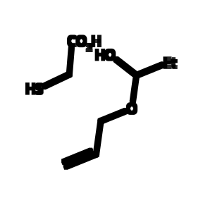 C=CCOC(O)CC.O=C(O)CS